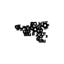 CC(C)(C)OC(=O)CN(C(=O)C(F)(F)F)c1c(OCc2ccccc2)cc2c(c1F)C[C@H](CN(CCC1COC1)C(=O)OC(C)(C)C)N2C(=O)O